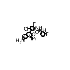 CC(C)n1c(=O)c(-c2cc(NC(=O)Nc3cccc(F)c3)c(F)cc2Cl)cc2cnc(N)cc21